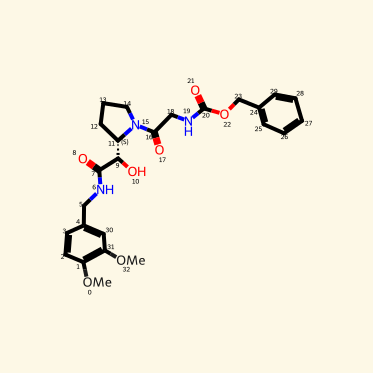 COc1ccc(CNC(=O)C(O)[C@@H]2CCCN2C(=O)CNC(=O)OCc2ccccc2)cc1OC